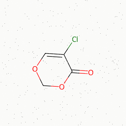 O=C1OCOC=C1Cl